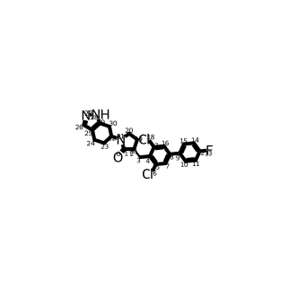 O=C1[C@H](Cc2c(Cl)cc(-c3ccc(F)cc3)cc2Cl)CCN1C1CCc2cn[nH]c2C1